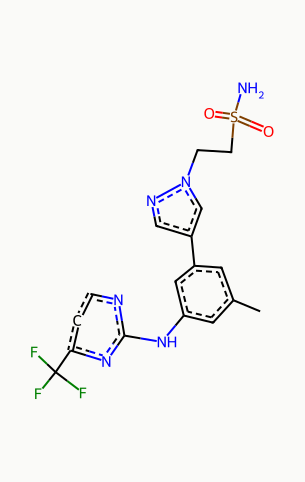 Cc1cc(Nc2nccc(C(F)(F)F)n2)cc(-c2cnn(CCS(N)(=O)=O)c2)c1